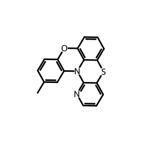 Cc1ccc2c(c1)N1c3ncccc3Sc3cccc(c31)O2